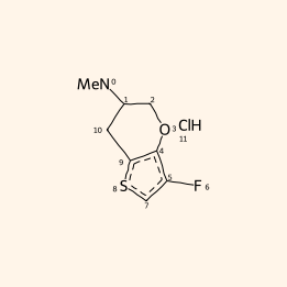 CNC1COc2c(F)csc2C1.Cl